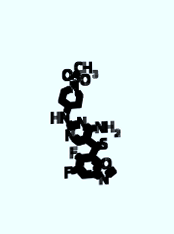 CS(=O)(=O)N1CCC(Nc2ncc(C(=S)c3c(F)c(F)cc4ncoc34)c(N)n2)CC1